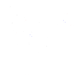 COc1ccc2c(c1)Sc1cc([N+](=O)[O-])ccc1N2C(=O)OC(C)(C)C